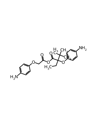 CCC(Oc1ccc(N)cc1)(C(=O)OC(=O)COc1ccc(N)cc1)C(C)(C)C